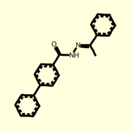 C/C(=N\NC(=O)c1ccc(-c2ccccc2)cc1)c1ccccc1